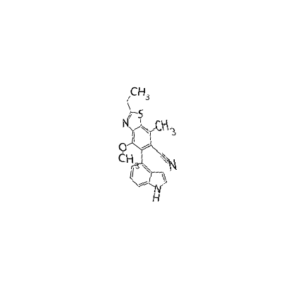 CCc1nc2c(OC)c(-c3cccc4[nH]ccc34)c(C#N)c(C)c2s1